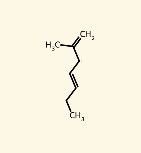 C=C(C)[CH]C=CCC